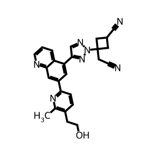 Cc1nc(-c2cc(-c3cnn(C4(CC#N)CC(C#N)C4)n3)c3cccnc3c2)ccc1CCO